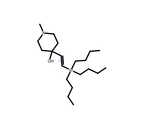 CCC[CH2][Sn](/[CH]=C/C1(O)CCN(C)CC1)([CH2]CCC)[CH2]CCC